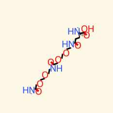 CNC(=O)COCCOCCNC(=O)COCCOCCNC(=O)CC[C@@H](NC)C(=O)O